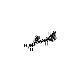 CNc1ccc(C(COCCOCCOCCNC(=O)COc2cccc3c2C(=O)N(C2CCC(=O)NC2=O)C3=O)Oc2ccc3ncsc3c2)cc1